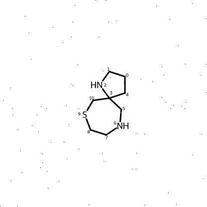 C1CNC2(C1)CNCCSC2